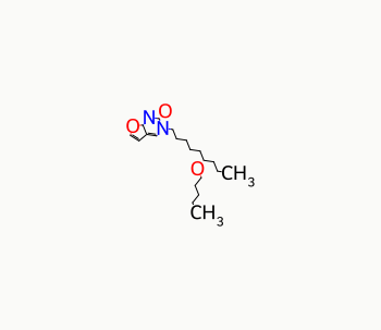 CCCCCOC(CCC)CCCCCn1cc2ccoc2nc1=O